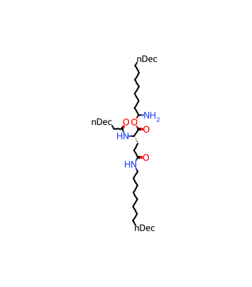 CCCCCCCCCCCCCCCCCCNC(=O)CC[C@H](NC(=O)CCCCCCCCCCC)C(=O)OC(N)CCCCCCCCCCCCCCCCC